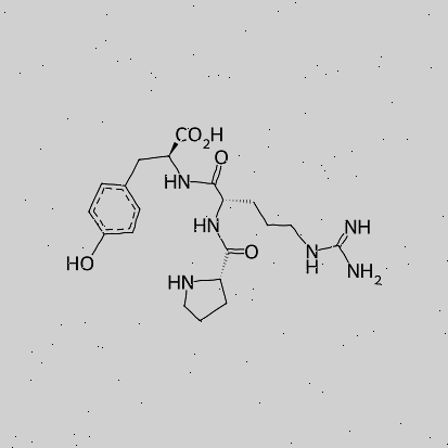 N=C(N)NCCC[C@H](NC(=O)[C@@H]1CCCN1)C(=O)N[C@@H](Cc1ccc(O)cc1)C(=O)O